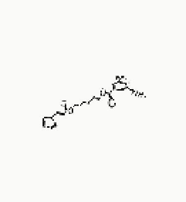 Nc1cc(N)cc(C(=O)OCCCCCCOC(=O)/C=C/c2ccccc2)c1